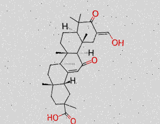 CC1(C(=O)O)CC[C@]2(C)CC[C@]3(C)C(=CC(=O)[C@@H]4[C@@]5(C)CC(=CO)C(=O)C(C)(C)[C@@H]5CC[C@]43C)[C@@H]2C1